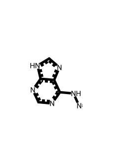 [N]Nc1ncnc2[nH]cnc12